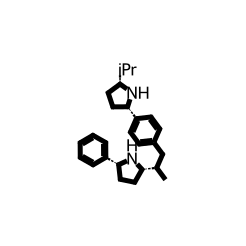 CC(Cc1ccc([C@@H]2CC[C@H](C(C)C)N2)cc1)[C@@H]1CC[C@H](c2ccccc2)N1